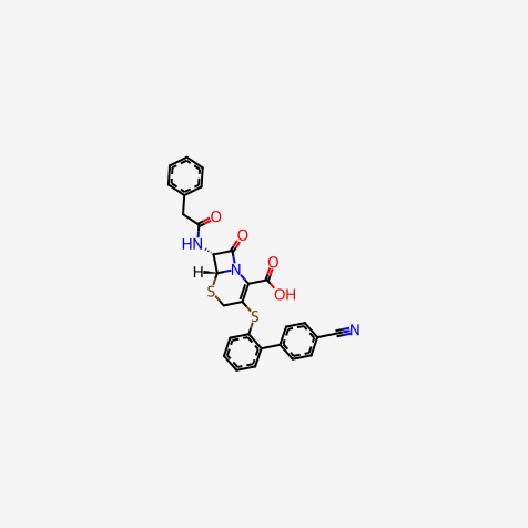 N#Cc1ccc(-c2ccccc2SC2=C(C(=O)O)N3C(=O)[C@@H](NC(=O)Cc4ccccc4)[C@H]3SC2)cc1